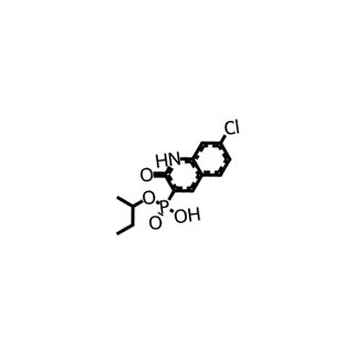 CCC(C)OP(=O)(O)c1cc2ccc(Cl)cc2[nH]c1=O